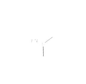 N.[CH3][Pb][I]